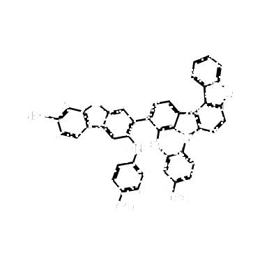 CC(C)(C)c1ccc(Nc2cc3c(cc2-c2ccc4c5c6c(ccc5n5c4c2Bc2cc(C(C)(C)C)ccc2-5)oc2ccccc26)sc2cc(C(C)(C)C)ccc23)cc1